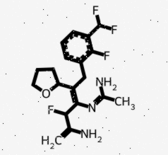 C=C(N)C(F)C(/N=C(/C)N)=C(/Cc1cccc(C(F)F)c1F)C1CCCO1